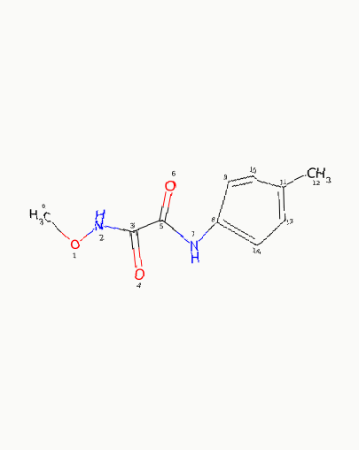 CONC(=O)C(=O)Nc1ccc(C)cc1